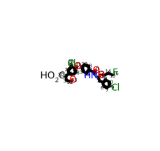 O=C(NC(Cc1ccc(Cl)cc1)OCCCF)c1ccc(Oc2cc3c(cc2Cl)C(C(=O)O)CCO3)cc1